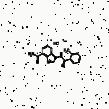 Cl.NC(=O)c1cccc2c1ncn2NC(=O)c1ccccc1C(F)(F)F